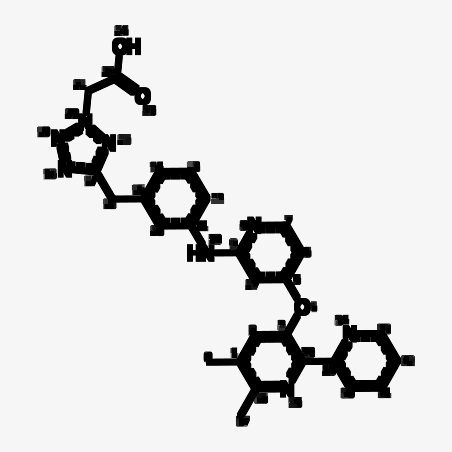 Cc1cc(Oc2ccnc(Nc3cccc(Cc4nnn(CC(=O)O)n4)c3)c2)c(-c2ccccn2)nc1C